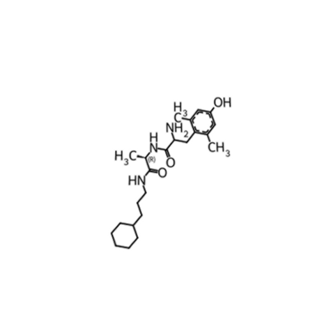 Cc1cc(O)cc(C)c1CC(N)C(=O)N[C@H](C)C(=O)NCCCC1CCCCC1